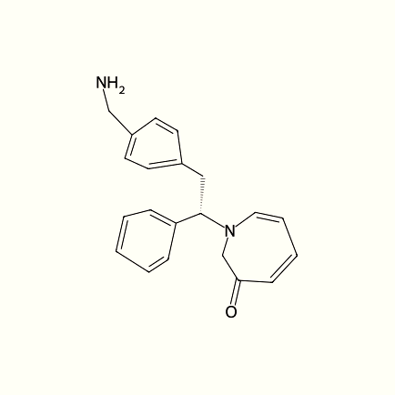 NCc1ccc(C[C@@H](c2ccccc2)N2C=CC=CC(=O)C2)cc1